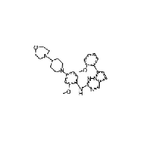 COc1cc(N2CCC(N3CCOCC3)CC2)ccc1Nc1ncc2ccc(-c3ccccc3OC)n2n1